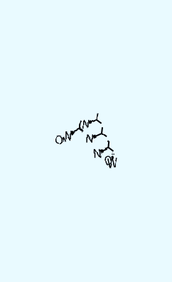 CC(C)C#N.CC(C)C#N.CC(C)C#N.CC(C)C#N.[C]=O.[C]=O.[W]